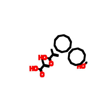 C1CCCCCCCCC1.C1CCCCCCCCC1.C=C(C)C(=O)O.C=C(C)C(=O)O.CO